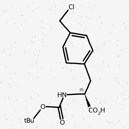 CC(C)(C)OC(=O)N[C@@H](Cc1ccc(CCl)cc1)C(=O)O